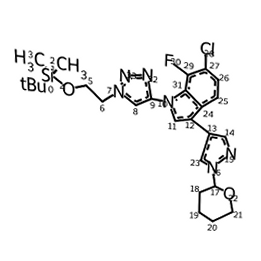 CC(C)(C)[Si](C)(C)OCCn1cc(-n2cc(-c3cnn(C4CCCCO4)c3)c3ccc(Cl)c(F)c32)nn1